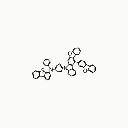 c1ccc(N(c2ccc(-n3c4ccccc4c4c(-c5ccc6c(c5)oc5ccccc56)c5c(cc43)oc3ccccc35)cc2)c2cccc3c2sc2ccccc23)cc1